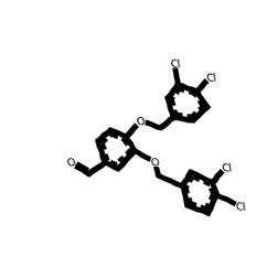 O=Cc1ccc(OCc2ccc(Cl)c(Cl)c2)c(OCc2ccc(Cl)c(Cl)c2)c1